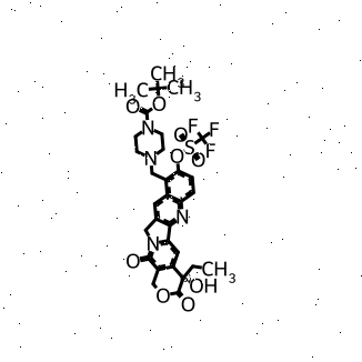 CC[C@@]1(O)C(=O)OCc2c1cc1n(c2=O)Cc2cc3c(CN4CCN(C(=O)OC(C)(C)C)CC4)c(OS(=O)(=O)C(F)(F)F)ccc3nc2-1